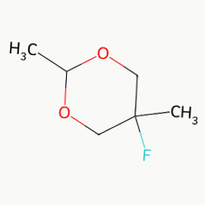 CC1OCC(C)(F)CO1